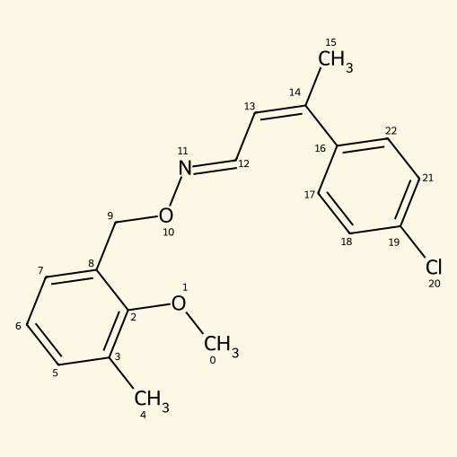 COc1c(C)cccc1CON=CC=C(C)c1ccc(Cl)cc1